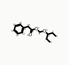 CCC(CC)OCOC(=O)Cc1ccccc1